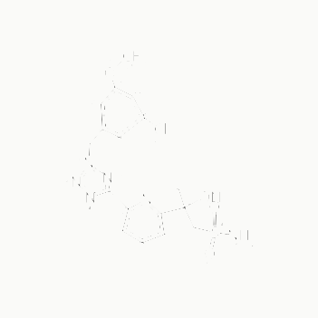 CC(O)(CS(N)(=O)=O)c1cccc(-c2nnn(Cc3cc(Cl)cc(OC(F)(F)F)c3)n2)n1